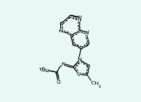 Cc1cn(-c2cnc3nccnc3c2)c(=NC(=O)C(C)(C)C)s1